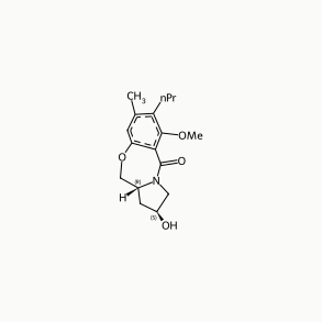 CCCc1c(C)cc2c(c1OC)C(=O)N1C[C@@H](O)C[C@@H]1CO2